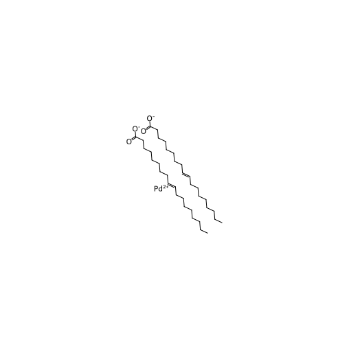 CCCCCCCCC=CCCCCCCCC(=O)[O-].CCCCCCCCC=CCCCCCCCC(=O)[O-].[Pd+2]